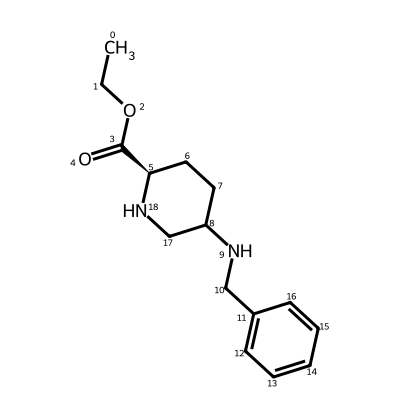 CCOC(=O)[C@H]1CCC(NCc2ccccc2)CN1